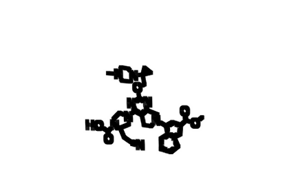 COC(=O)c1cc(N2CCc3c(nc(OCC4(N5CCN(C)CC5)CC4)nc3N3CCN(C(=O)O)C(CC#N)C3)C2)c2ccccc2c1